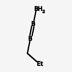 BB=BCCC